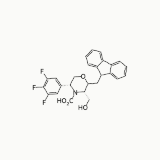 O=C(O)N1[C@H](c2cc(F)c(F)c(F)c2)COC(CC2c3ccccc3-c3ccccc32)[C@@H]1CO